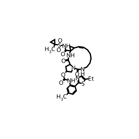 CCc1cnc(-c2ccc(C)cc2NC(=O)OC2CC3C(=O)NC4(C(=O)NS(=O)(=O)C5(C)CC5)CC4C=CCCCCCNC(=O)N3C2)s1